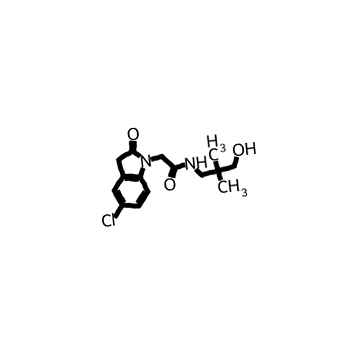 CC(C)(CO)CNC(=O)CN1C(=O)Cc2cc(Cl)ccc21